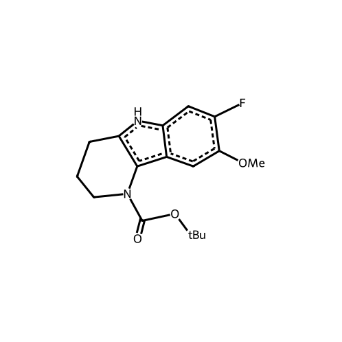 COc1cc2c3c([nH]c2cc1F)CCCN3C(=O)OC(C)(C)C